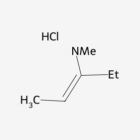 CC=C(CC)NC.Cl